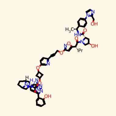 CC(C)[C@@H](C(=O)N1C[C@H](O)C[C@H]1C(=O)N[C@@H](C)c1ccc(-n2ccnc2CO)cc1)c1cc(OCC#Cc2ccc(OC3CC(Oc4cc(N5C6CC[C@@H]5CN(c5cc(-c7ccccc7O)nnc5N)C6)ccn4)C3)cn2)no1